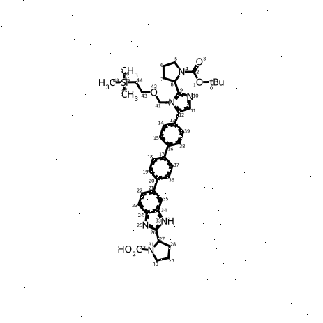 CC(C)(C)OC(=O)N1CCCC1c1ncc(-c2ccc(-c3ccc(-c4ccc5nc(C6CCCN6C(=O)O)[nH]c5c4)cc3)cc2)n1COCC[Si](C)(C)C